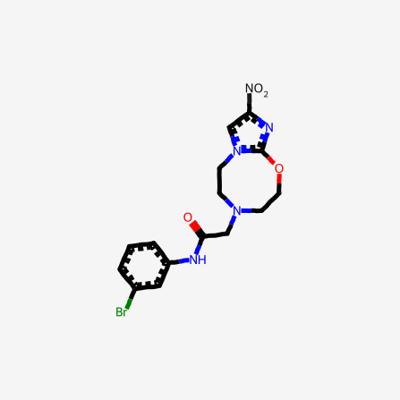 O=C(CN1CCOc2nc([N+](=O)[O-])cn2CC1)Nc1cccc(Br)c1